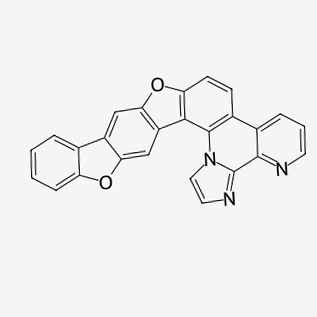 c1ccc2c(c1)oc1cc3c(cc12)oc1ccc2c4cccnc4c4nccn4c2c13